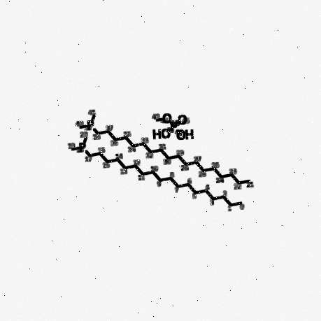 CCCCCCCCCCCCCCCCCCP(C)C.CCCCCCCCCCCCCCCCCCP(C)C.COP(=O)(O)O